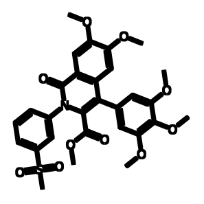 COC(=O)c1c(-c2cc(OC)c(OC)c(OC)c2)c2cc(OC)c(OC)cc2c(=O)n1-c1cccc(S(C)(=O)=O)c1